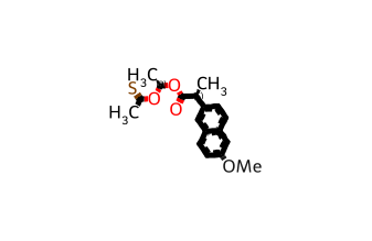 COc1ccc2cc([C@H](C)C(=O)O[C@@H](C)OC(C)=S)ccc2c1